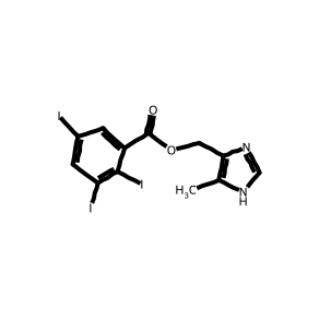 Cc1[nH]cnc1COC(=O)c1cc(I)cc(I)c1I